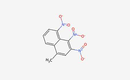 Cc1cc([N+](=O)[O-])c([N+](=O)[O-])c2c([N+](=O)[O-])cccc12